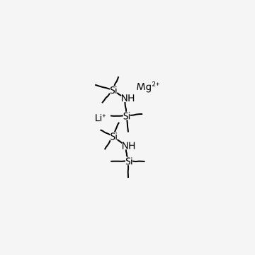 C[Si](C)(C)N[Si](C)(C)C.C[Si](C)(C)N[Si](C)(C)C.[Li+].[Mg+2]